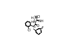 Cl.N=C(N)NC(=O)[C@H](Cc1cccc(F)c1)c1ccccc1Cl